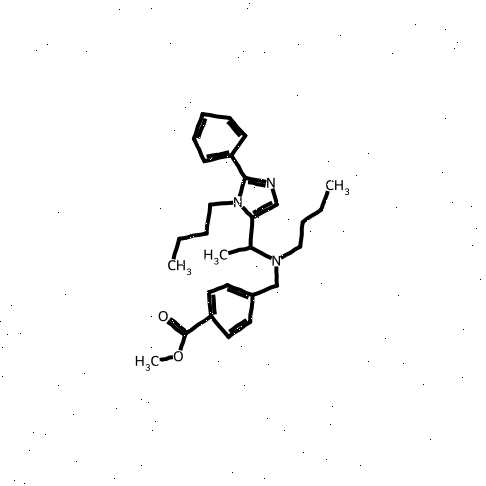 CCCCN(Cc1ccc(C(=O)OC)cc1)C(C)c1cnc(-c2ccccc2)n1CCCC